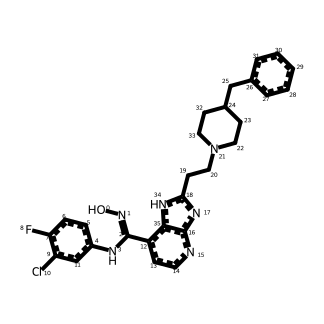 ON=C(Nc1ccc(F)c(Cl)c1)c1ccnc2nc(CCN3CCC(Cc4ccccc4)CC3)[nH]c12